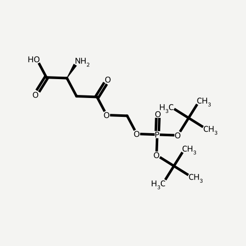 CC(C)(C)OP(=O)(OCOC(=O)C[C@H](N)C(=O)O)OC(C)(C)C